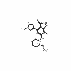 Cn1cc(-c2nc(N[C@@H]3CCCC[C@@H]3NC(=O)O)c(F)c3c2C(=O)NC3)cn1